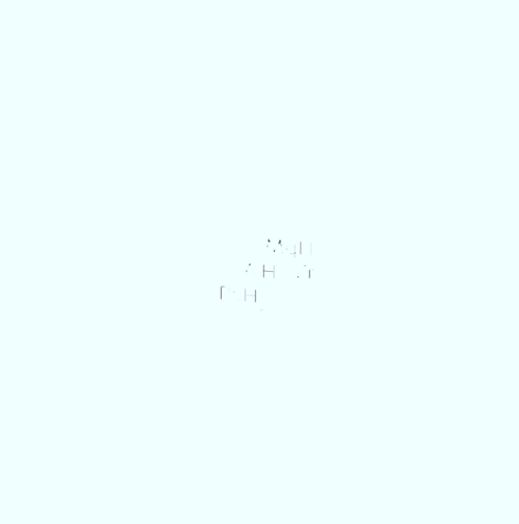 [AlH3].[MgH2].[PbH2].[Zr]